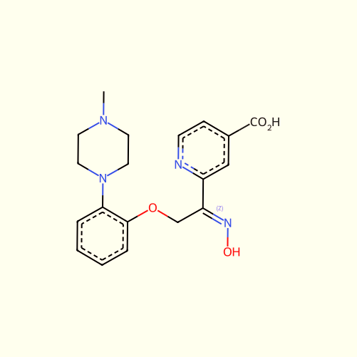 CN1CCN(c2ccccc2OC/C(=N\O)c2cc(C(=O)O)ccn2)CC1